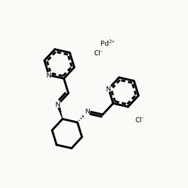 C(=N[C@@H]1CCCC[C@H]1N=Cc1ccccn1)c1ccccn1.[Cl-].[Cl-].[Pd+2]